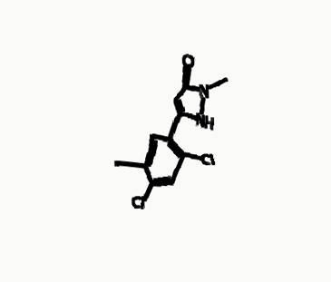 Cc1cc(-c2cc(=O)n(C)[nH]2)c(Cl)cc1Cl